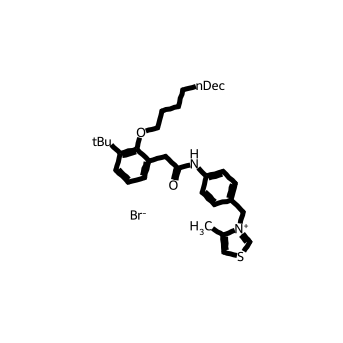 CCCCCCCCCCCCCCOc1c(CC(=O)Nc2ccc(C[n+]3cscc3C)cc2)cccc1C(C)(C)C.[Br-]